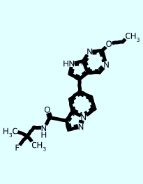 CCOc1ncc2c(-c3ccn4ncc(C(=O)NCC(C)(C)F)c4c3)c[nH]c2n1